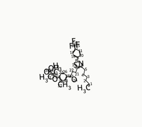 CCCCCCc1nc(-c2ccc(C(F)(F)F)cc2)sc1CCC(=O)c1ccc(OC(C)(C)C(=O)O)c(C)c1